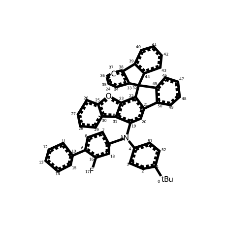 CC(C)(C)c1ccc(N(c2ccc(-c3ccccc3)c(F)c2)c2cc3c(c4oc5ccccc5c24)C2(c4ccccc4-c4ccccc42)c2ccccc2-3)cc1